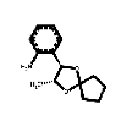 [CH2][C@H]1OC2(CCCC2)O[C@@H]1c1ccccc1N